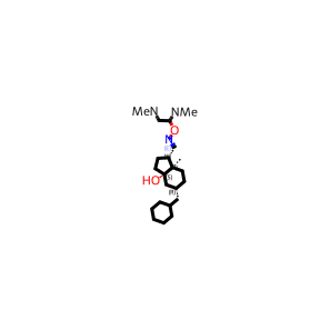 CNCC(NC)O/N=C/[C@H]1CC[C@]2(O)C[C@@H](CC3CCCCC3)CC[C@]12C